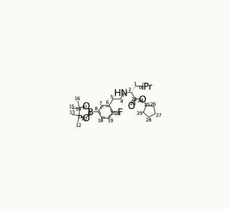 CC(C)C[C@@H](NCCc1cc(B2OC(C)(C)C(C)(C)O2)ccc1F)C(=O)OC1CCCC1